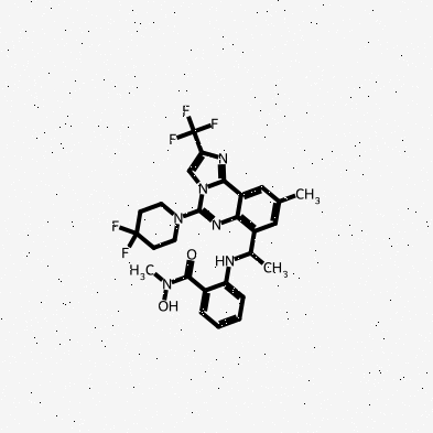 Cc1cc(C(C)Nc2ccccc2C(=O)N(C)O)c2nc(N3CCC(F)(F)CC3)n3cc(C(F)(F)F)nc3c2c1